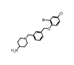 NC1CCN(Cc2cccc(COc3ccc(Cl)cc3Br)c2)CC1